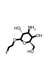 NC1C(O)[C@@H](CO)OC(OCCF)[C@@H]1O